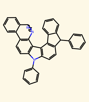 c1ccc(C2c3ccccc3-c3c2ccc2c3c3c(ccc4c5ccccc5c5nccn5c43)n2-c2ccccc2)cc1